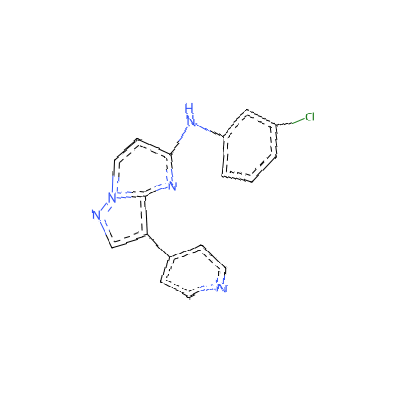 Clc1cccc(Nc2ccn3ncc(-c4ccncc4)c3n2)c1